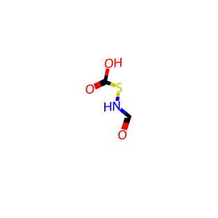 O=CNSC(=O)O